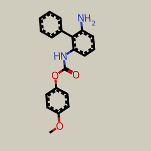 COc1ccc(OC(=O)Nc2cccc(N)c2-c2ccccc2)cc1